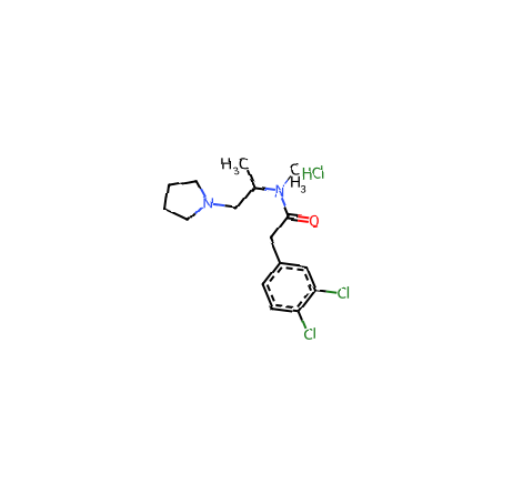 CC(CN1CCCC1)N(C)C(=O)Cc1ccc(Cl)c(Cl)c1.Cl